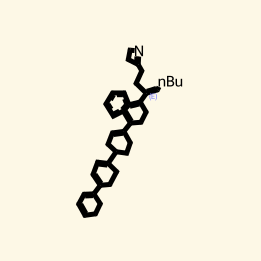 CCCC/C=C(\CCC1=NCC1)C1=c2ccccc2=C(C2=CCC(C3=CC=C(C4=CC=CCC4)CC3)CC2)CC1